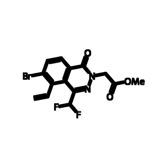 C=Cc1c(Br)ccc2c(=O)n(CC(=O)OC)nc(C(F)F)c12